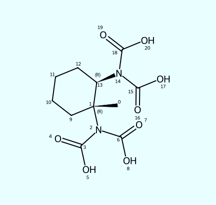 C[C@@]1(N(C(=O)O)C(=O)O)CCCC[C@H]1N(C(=O)O)C(=O)O